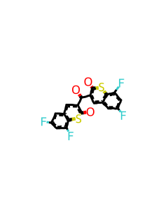 O=C(c1cc2cc(F)cc(F)c2sc1=O)c1cc2cc(F)cc(F)c2sc1=O